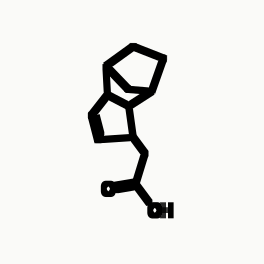 O=C(O)CC1C=CC2C3CCC(C3)C12